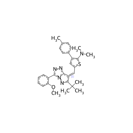 COc1ccccc1-c1nnc2/c(=C\c3cc(-c4ccc(C)cc4)c(N(C)C)s3)c(C(C)(C)C)nn12